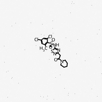 Cc1cc(Cl)cc(Cl)c1S(=O)(=O)Nc1nc(CC(=O)N2CCCCC2)ns1